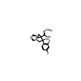 CCC/C(=N\OC)C1(C(O)(Cn2cncn2)c2ccc(F)cc2F)CC1